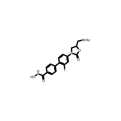 CC(=O)NCC1CN(c2ccc(-c3ccc(C(=O)NO)cc3)c(F)c2)C(=O)O1